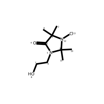 CC1(C)C(=O)N(CCO)C(C)(C)N1Cl